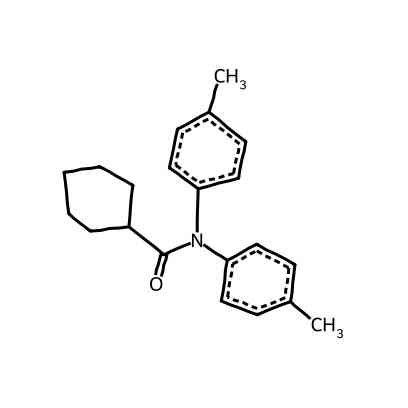 Cc1ccc(N(C(=O)C2CCCCC2)c2ccc(C)cc2)cc1